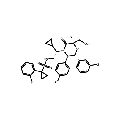 C[C@]1(CC(=O)O)O[C@H](c2cccc(Cl)c2)[C@@H](c2ccc(Cl)cc2)N([C@H](CNS(=O)(=O)C2(c3ccccc3F)CC2)C2CC2)C1=O